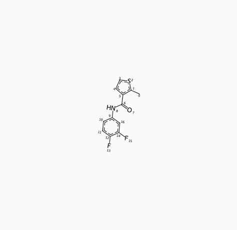 Cc1sccc1C(=O)Nc1ccc(F)c(F)c1